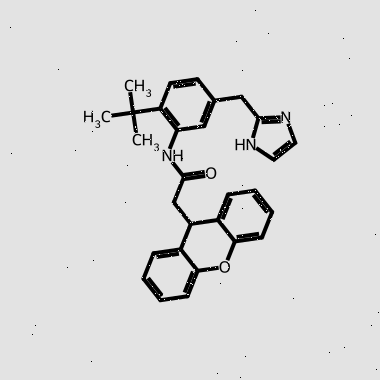 CC(C)(C)c1ccc(Cc2ncc[nH]2)cc1NC(=O)CC1c2ccccc2Oc2ccccc21